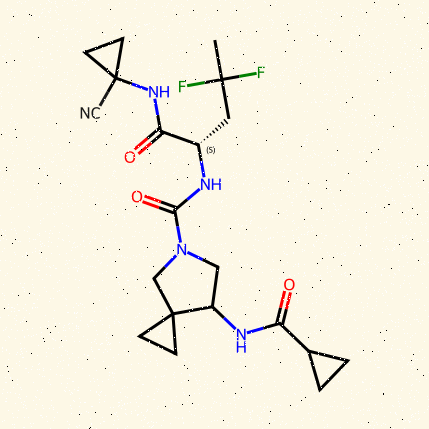 CC(F)(F)C[C@H](NC(=O)N1CC(NC(=O)C2CC2)C2(CC2)C1)C(=O)NC1(C#N)CC1